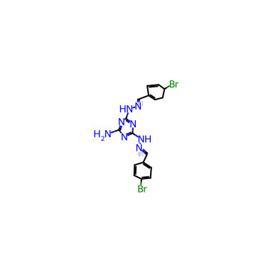 Nc1nc(N/N=C/C2=CCC(Br)C=C2)nc(N/N=C/c2ccc(Br)cc2)n1